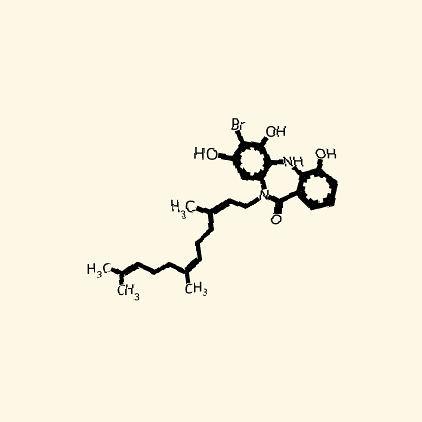 CC(C)=CCCC(C)=CCCC(C)=CCN1C(=O)c2cccc(O)c2Nc2c1cc(O)c(Br)c2O